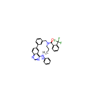 CCCN(Cc1cccc(-c2ccc3ncnc(Nc4ccccc4)c3c2)c1)C(=O)c1ccccc1C(F)(F)F